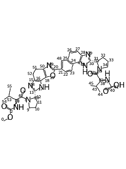 COC(=O)N[C@H](C(=O)N1CCC[C@H]1c1nc2c([nH]1)-c1oc(-c3ccc4c(ccc5nc([C@@H]6CCCN6C(=O)[C@@H](NC(=O)O)C(C)C)[nH]c54)c3)nc1CC2)C(C)C